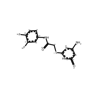 Nc1cc(=O)[nH]c(SCC(=O)Nc2ccc(F)c(F)c2)n1